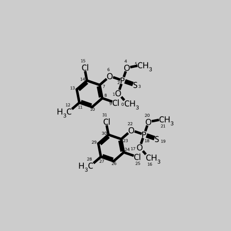 COP(=S)(OC)Oc1c(Cl)cc(C)cc1Cl.COP(=S)(OC)Oc1c(Cl)cc(C)cc1Cl